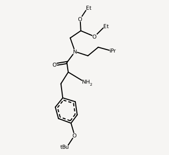 CCOC(CN(CCC(C)C)C(=O)C(N)Cc1ccc(OC(C)(C)C)cc1)OCC